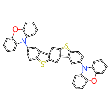 c1ccc2c(c1)Oc1ccccc1N2c1ccc2sc3cc4c(cc3c2c1)sc1ccc(N2c3ccccc3Oc3ccccc32)cc14